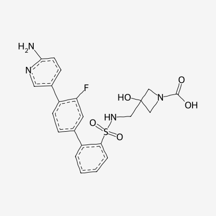 Nc1ccc(-c2ccc(-c3ccccc3S(=O)(=O)NCC3(O)CN(C(=O)O)C3)cc2F)cn1